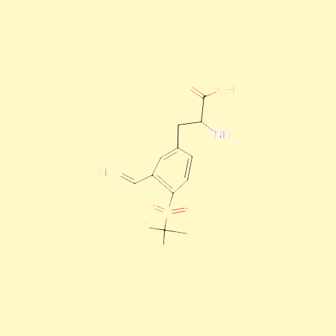 C=Cc1cc(CC(N)C(=O)O)ccc1S(=O)(=O)C(F)(F)F